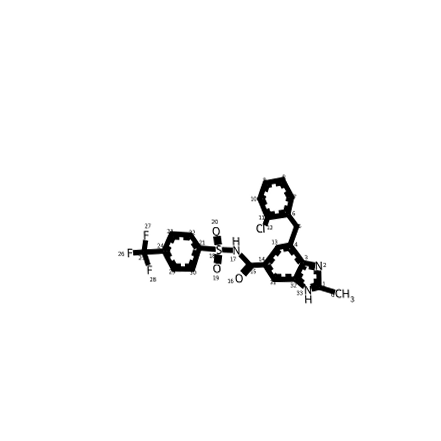 Cc1nc2c(Cc3ccccc3Cl)cc(C(=O)NS(=O)(=O)c3ccc(C(F)(F)F)cc3)cc2[nH]1